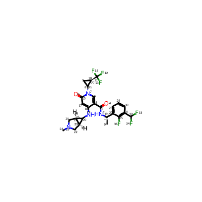 C[C@@H](NC(=O)c1cn([C@@H]2C[C@H]2C(F)(F)F)c(=O)cc1NC1[C@H]2CN(C)C[C@@H]12)c1cccc(C(F)F)c1F